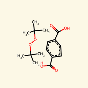 CC(C)(C)OOC(C)(C)C.O=C(O)c1ccc(C(=O)O)cc1